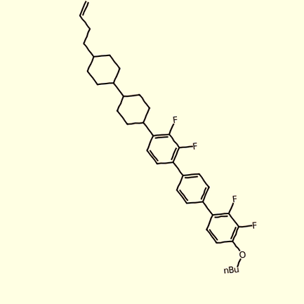 C=CCCC1CCC(C2CCC(c3ccc(-c4ccc(-c5ccc(OCCCC)c(F)c5F)cc4)c(F)c3F)CC2)CC1